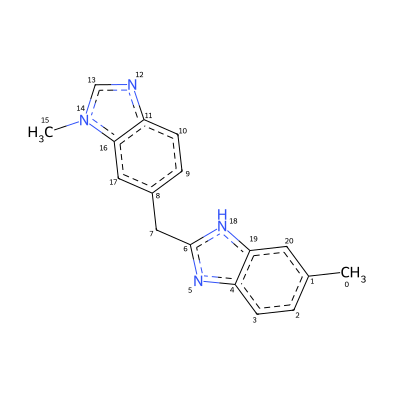 Cc1ccc2nc(Cc3ccc4ncn(C)c4c3)[nH]c2c1